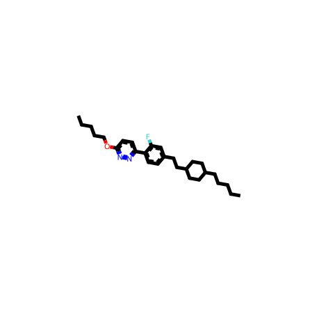 CCCCCOc1ccc(-c2ccc(CCC3CCC(CCCCC)CC3)cc2F)nn1